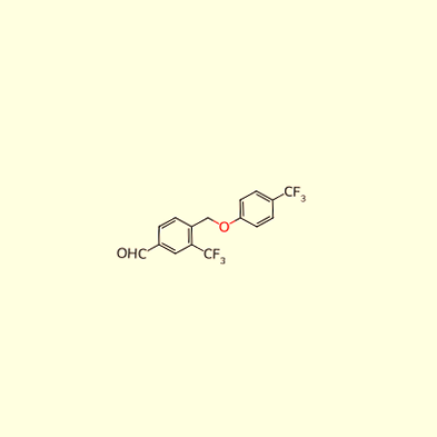 O=Cc1ccc(COc2ccc(C(F)(F)F)cc2)c(C(F)(F)F)c1